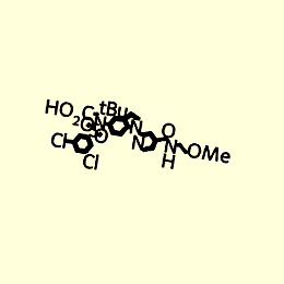 COCCNC(=O)c1ccnc(-n2ccc3cc(N(C(C(=O)O)C(C)(C)C)S(=O)(=O)c4cc(Cl)cc(Cl)c4)ccc32)c1